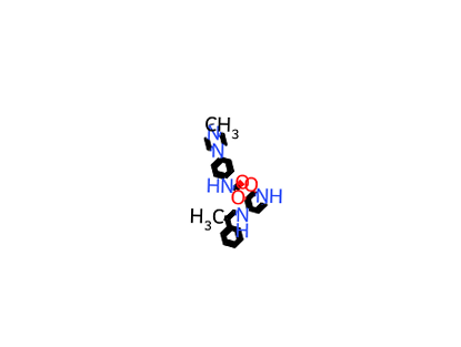 CC(CNc1cc[nH]c(=O)c1OC(=O)Nc1ccc(N2CCN(C)CC2)cc1)c1ccccc1